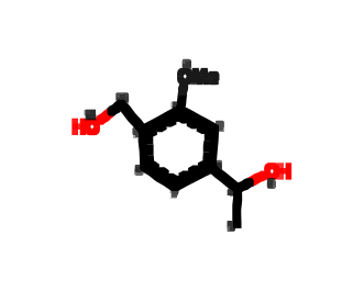 COc1cc(C(C)O)ccc1CO